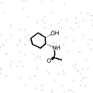 CC(=O)N[C@@H]1CCCC[C@@H]1O